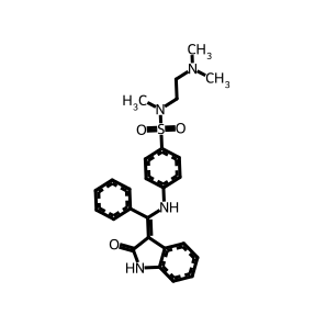 CN(C)CCN(C)S(=O)(=O)c1ccc(NC(=C2C(=O)Nc3ccccc32)c2ccccc2)cc1